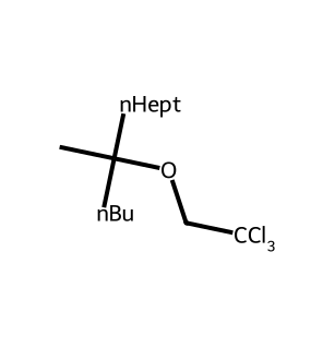 CCCCCCCC(C)(CCCC)OCC(Cl)(Cl)Cl